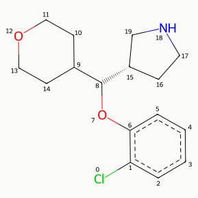 Clc1ccccc1OC(C1CCOCC1)[C@H]1CCNC1